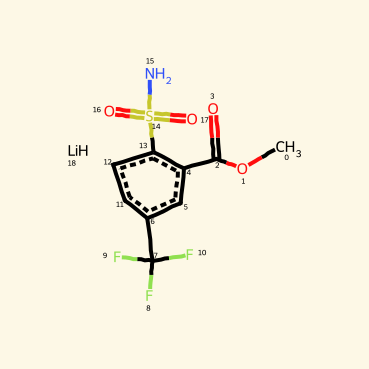 COC(=O)c1cc(C(F)(F)F)ccc1S(N)(=O)=O.[LiH]